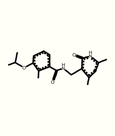 Cc1cc(C)c(CNC(=O)c2cccc(OC(C)C)c2C)c(=O)[nH]1